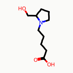 O=C(O)CCCCN1CCCC1CO